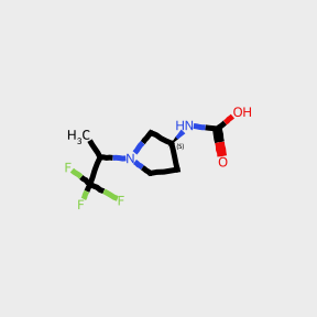 CC(N1CC[C@H](NC(=O)O)C1)C(F)(F)F